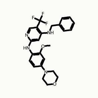 COc1cc(N2CCOCC2)ccc1Nc1cc(NCc2ccccc2)c(C(F)(F)F)cn1